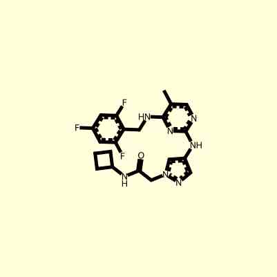 Cc1cnc(Nc2cnn(CC(=O)NC3CCC3)c2)nc1NCc1c(F)cc(F)cc1F